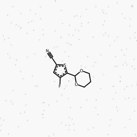 N#Cc1cc(F)c(C2OCCCO2)s1